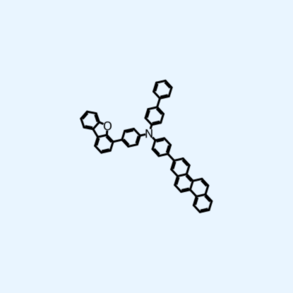 c1ccc(-c2ccc(N(c3ccc(-c4ccc5c(ccc6c7ccccc7ccc56)c4)cc3)c3ccc(-c4cccc5c4oc4ccccc45)cc3)cc2)cc1